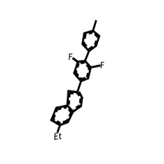 CCc1ccc2cc(-c3cc(F)c(-c4ccc(C)cc4)c(F)c3)ccc2c1